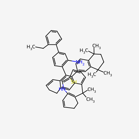 CCc1ccccc1-c1ccc(-c2c3c(cc(\C4=C/C=C\C(S)=C\NC5=C(CCC=C5)C4(C)C)c2-c2ccc4c(c2)C(C)(C)CCC4(C)C)CCC=C3)c(N)c1